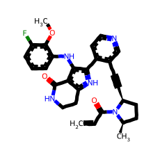 C=CC(=O)N1[C@H](C)CC[C@@H]1C#Cc1cnccc1-c1[nH]c2c(c1Nc1cccc(F)c1OC)C(=O)NCC2